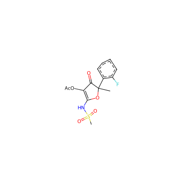 CC(=O)OC1=C(NS(C)(=O)=O)OC(C)(c2ccccc2F)C1=O